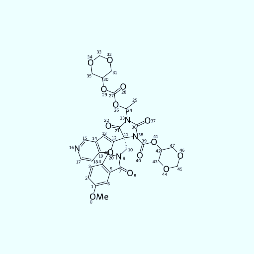 COc1ccc2c(c1)C(=O)N(C[C@]1(c3cc4cnccc4o3)C(=O)N(C(C)OC(=O)OC3COCOC3)C(=O)N1C(=O)OC1COCOC1)C2